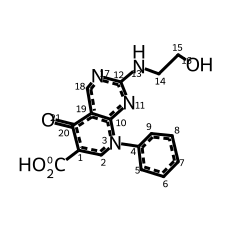 O=C(O)c1cn(-c2ccccc2)c2nc(NCCO)ncc2c1=O